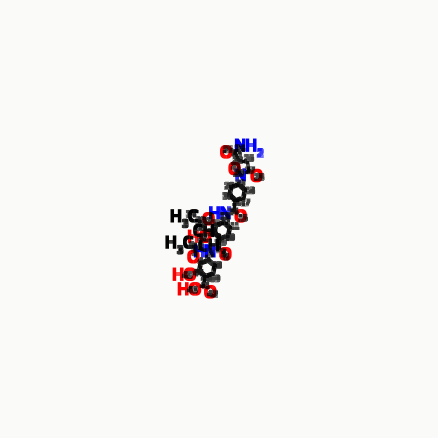 CC(C)Oc1c(NC(=O)c2ccc(NC(=O)c3ccc(N4OC(C(N)=O)CC4=O)cc3)c(OC(C)C)c2O)ccc(C(=O)O)c1O